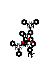 FC(F)(F)c1ccc2c(c1)c1ccccc1n2-c1cc(-c2nc(-c3ccccc3)nc(-c3ccccc3)n2)ccc1-c1cccc(-c2ccc(-c3nc(-c4ccccc4)nc(-c4ccccc4)n3)cc2-n2c3ccccc3c3cc(C(F)(F)F)ccc32)c1